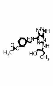 CCC(CO)Nc1nc(NCc2cccc(OC(C)=O)c2)c2nn[nH]c2n1